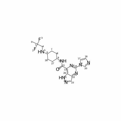 CC(F)(F)CNC1CCC(NC(=O)c2nc(-n3ccnc3)nc3cn[nH]c23)CC1